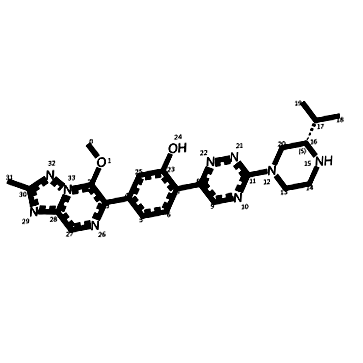 COc1c(-c2ccc(-c3cnc(N4CCN[C@@H](C(C)C)C4)nn3)c(O)c2)ncc2nc(C)nn12